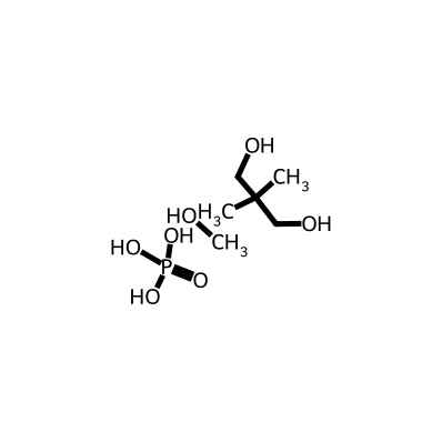 CC(C)(CO)CO.CO.O=P(O)(O)O